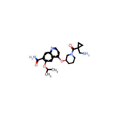 CC(C)Oc1cc2c(O[C@@H]3CCCN(C(=O)C4(CN)CC4)C3)ccnc2cc1C(N)=O